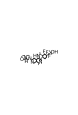 Cc1nnc(NC(C)c2cccc(C(F)(F)C(C)(C)O)c2F)c2cc(N3CCN4CCOC[C@@H]4C3)ncc12